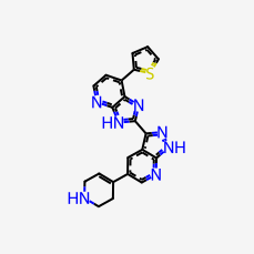 C1=C(c2cnc3[nH]nc(-c4nc5c(-c6cccs6)ccnc5[nH]4)c3c2)CCNC1